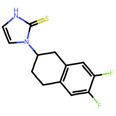 Fc1cc2c(cc1F)CC(n1cc[nH]c1=S)CC2